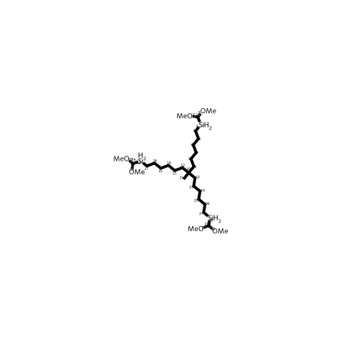 COC(OC)[SiH2]CCCCCCC(C)(CCCCCC[SiH2]C(OC)OC)CCCCCC[SiH2]C(OC)OC